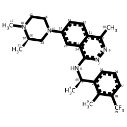 Cc1c([C@@H](C)Nc2nnc(C)c3ccc(N4CCN(C)[C@H](C)C4)cc23)cccc1C(F)(F)F